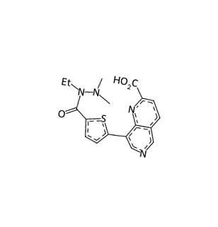 CCN(C(=O)c1ccc(-c2cncc3ccc(C(=O)O)nc23)s1)N(C)C